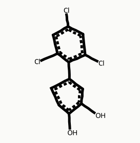 Oc1ccc(-c2c(Cl)cc(Cl)cc2Cl)cc1O